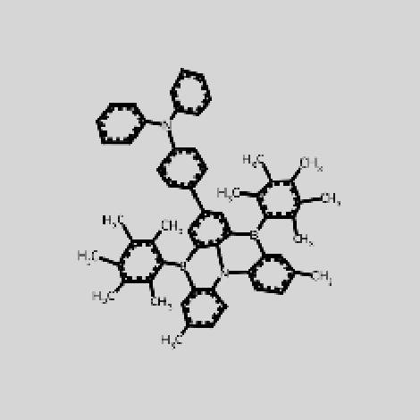 Cc1ccc2c(c1)B(c1c(C)c(C)c(C)c(C)c1C)c1cc(-c3ccc(N(c4ccccc4)c4ccccc4)cc3)cc3c1N2c1ccc(C)cc1B3c1c(C)c(C)c(C)c(C)c1C